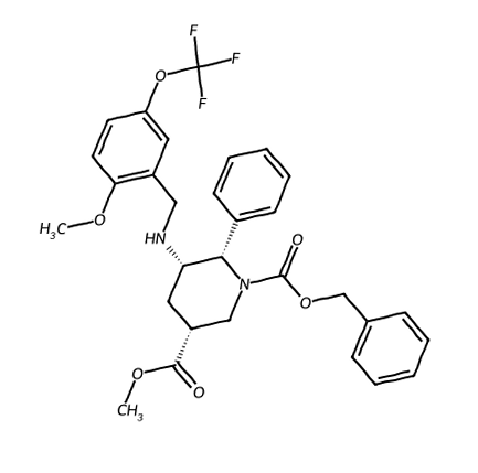 COC(=O)[C@@H]1C[C@H](NCc2cc(OC(F)(F)F)ccc2OC)[C@H](c2ccccc2)N(C(=O)OCc2ccccc2)C1